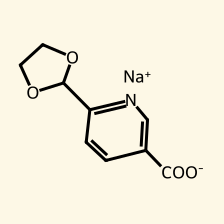 O=C([O-])c1ccc(C2OCCO2)nc1.[Na+]